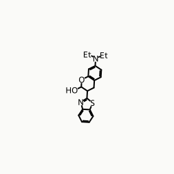 CCN(CC)c1ccc2c(c1)OC(O)C(c1nc3ccccc3s1)C2